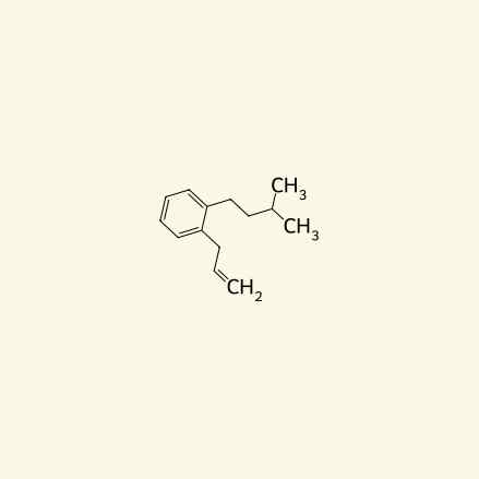 C=CCc1ccccc1CCC(C)C